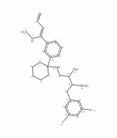 C=N/C=C(\NN)c1cccc(C2(NCC(O)C(Cc3cc(F)cc(F)c3)NC(C)=O)CCCCC2)c1